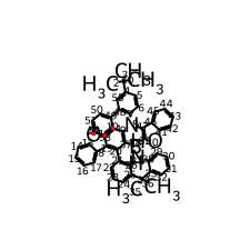 CC(C)(C)c1ccc(N2c3cc4oc5ccccc5c4c(-c4cccc5c4Nc4ccccc4C5(C)C)c3Bc3oc4ccccc4c32)c(-c2ccccc2)c1